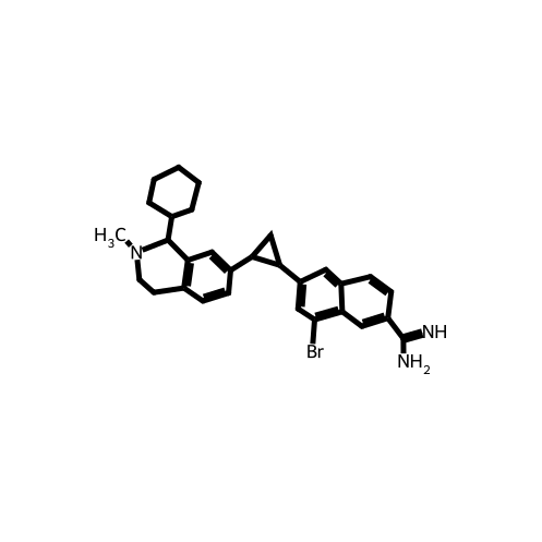 CN1CCc2ccc(C3CC3c3cc(Br)c4cc(C(=N)N)ccc4c3)cc2C1C1CCCCC1